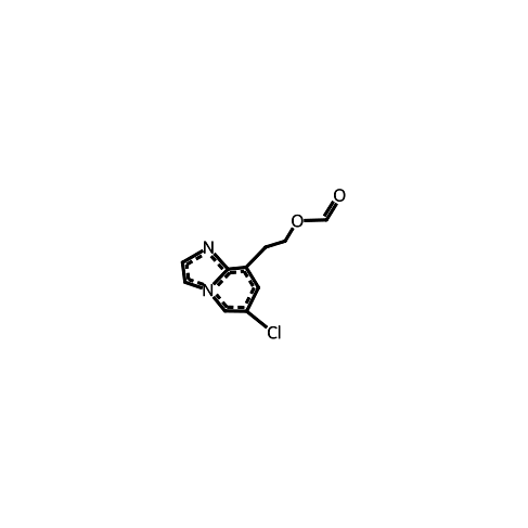 O=COCCc1cc(Cl)cn2ccnc12